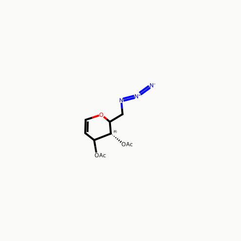 CC(=O)OC1C=COC(CN=[N+]=[N-])[C@@H]1OC(C)=O